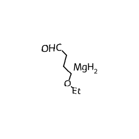 CCOCCCC=O.[MgH2]